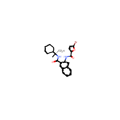 C[C@@](NC(=O)c1cc2ccccc2cc1NC(=O)c1ccc(Br)o1)(C(=O)O)C1CCCCC1